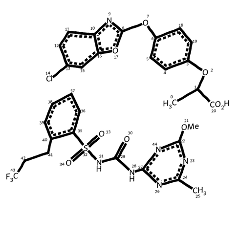 CC(Oc1ccc(Oc2nc3ccc(Cl)cc3o2)cc1)C(=O)O.COc1nc(C)nc(NC(=O)NS(=O)(=O)c2ccccc2CCC(F)(F)F)n1